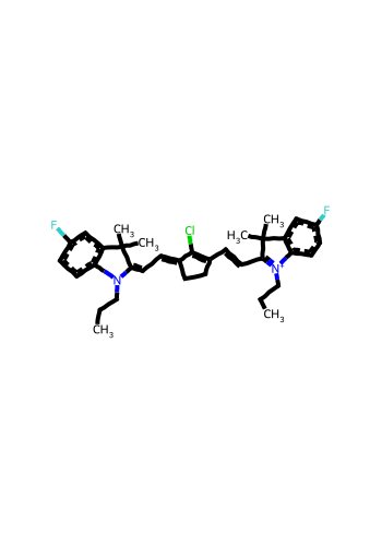 CCCN1/C(=C/C=C2\CCC(/C=C/C3=[N+](CCC)c4ccc(F)cc4C3(C)C)=C2Cl)C(C)(C)c2cc(F)ccc21